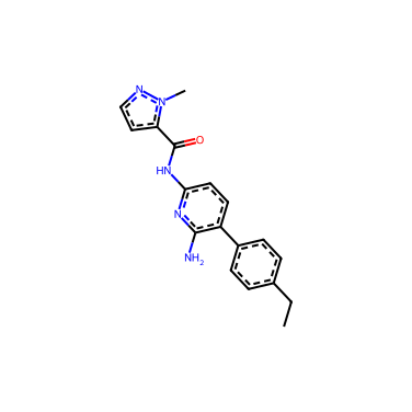 CCc1ccc(-c2ccc(NC(=O)c3ccnn3C)nc2N)cc1